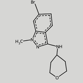 Cn1nc(NC2CCOCC2)c2ccc(Br)cc21